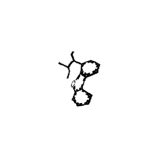 CC(C)C(C)c1cccc2c1oc1ccccc12